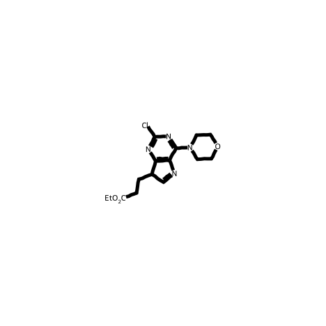 CCOC(=O)CCC1C=Nc2c1nc(Cl)nc2N1CCOCC1